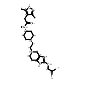 Cc1noc(C)c1CC(=O)N[C@H]1CC[C@H](CCN2CCc3sc(OCC(F)F)nc3C2)CC1